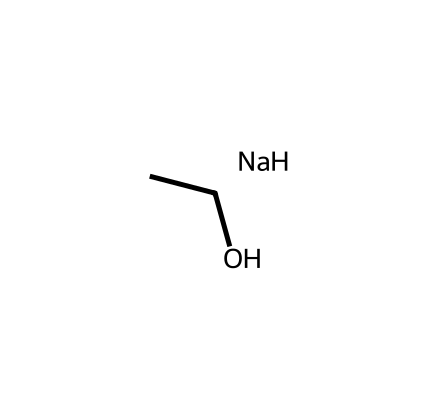 CCO.[NaH]